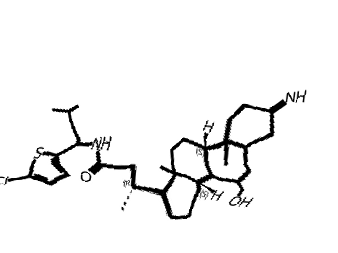 CC(C)C(NC(=O)C[C@@H](C)C1CC[C@H]2C3C(O)CC4CC(=N)CCC4(C)[C@H]3CCC12C)c1ccc(Cl)s1